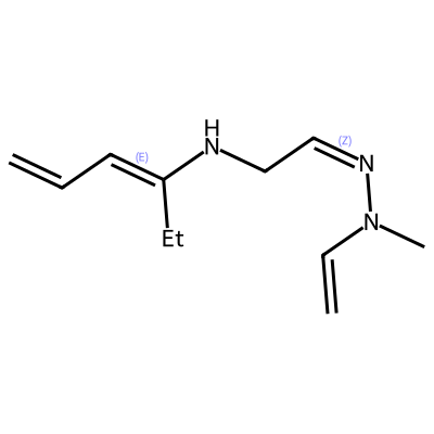 C=C/C=C(\CC)NC/C=N\N(C)C=C